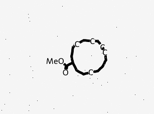 COC(=O)C1CCCCCCCCCCCCCC1